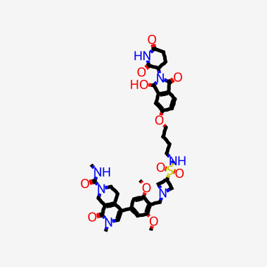 CNC(=O)N1CCc2c(-c3cc(OC)c(CN4CC(S(=O)(=O)NCCCCOc5ccc6c(c5)C(O)N(C5CCC(=O)NC5=O)C6=O)C4)c(OC)c3)cn(C)c(=O)c2C1